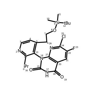 CC(C)c1nccc(CCO[Si](C)(C)C(C)(C)C)c1-n1c(=O)[nH]c(=O)c2cc(F)c(Cl)nc21